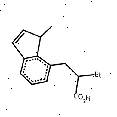 CCC(Cc1cccc2c1C(C)C=C2)C(=O)O